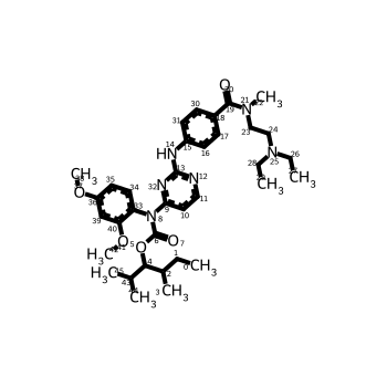 CCC(C)C(OC(=O)N(c1ccnc(Nc2ccc(C(=O)N(C)CCN(CC)CC)cc2)n1)c1ccc(OC)cc1OC)C(C)C